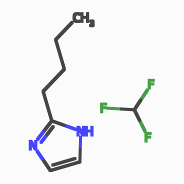 CCCCc1ncc[nH]1.FC(F)F